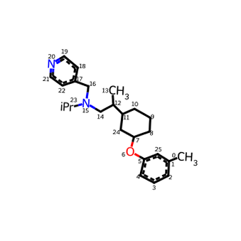 Cc1cccc(OC2CCCC(C(C)CN(Cc3ccncc3)C(C)C)C2)c1